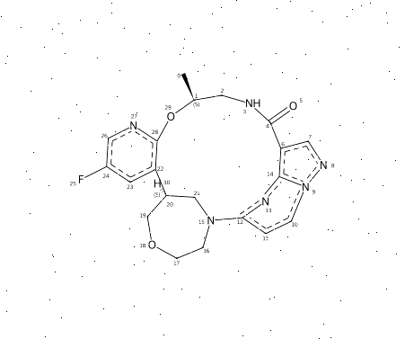 C[C@H]1CNC(=O)c2cnn3ccc(nc23)N2CCOC[C@H](C2)c2cc(F)cnc2O1